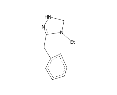 CCN1CNN=C1Cc1ccccc1